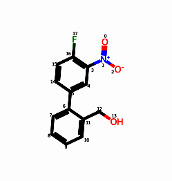 O=[N+]([O-])c1cc(-c2ccccc2CO)ccc1F